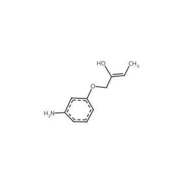 CC=C(O)COc1cccc(N)c1